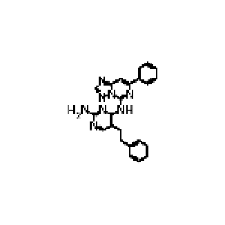 Nc1ncc(CCc2ccccc2)c(Nc2nc(-c3ccccc3)cc3ncnn23)n1